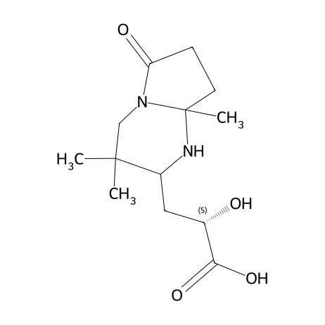 CC1(C)CN2C(=O)CCC2(C)NC1C[C@H](O)C(=O)O